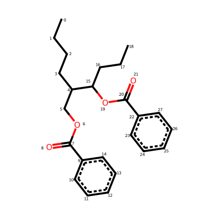 CCCCC(COC(=O)c1ccccc1)C(CCC)OC(=O)c1ccccc1